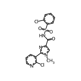 Cn1cc(C(=O)NS(=O)(=O)c2ccccc2Cl)nc1-c1cccnc1Cl